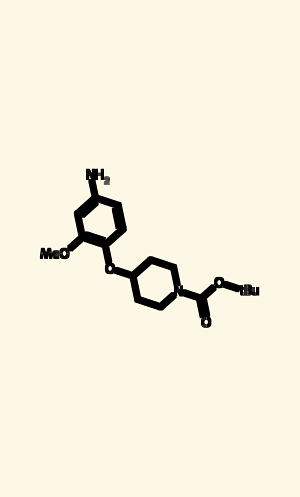 COc1cc(N)ccc1OC1CCN(C(=O)OC(C)(C)C)CC1